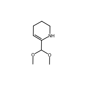 COC(OC)C1=CCCCN1